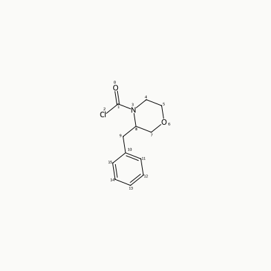 O=C(Cl)N1CCOCC1Cc1ccccc1